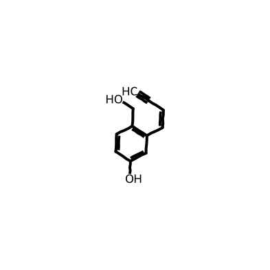 C#C/C=C\c1cc(O)ccc1CO